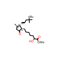 CCCCC(C)(C)C/C=C/[C@H]1[C@H](C)CC(=O)[C@@H]1CCCCCC(O)C(=O)OC